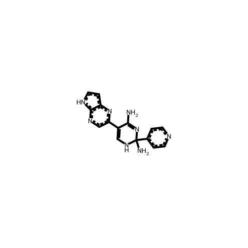 NC1=NC(N)(c2ccncc2)NC=C1c1cnc2[nH]ccc2n1